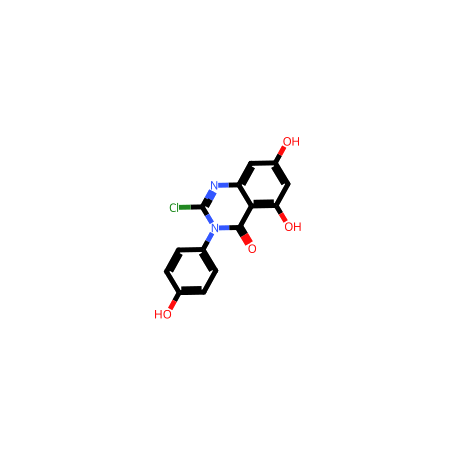 O=c1c2c(O)cc(O)cc2nc(Cl)n1-c1ccc(O)cc1